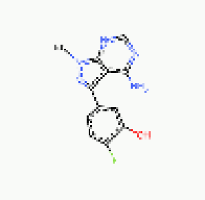 CCn1nc(-c2ccc(F)c(O)c2)c2c(N)ncnc21